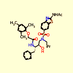 CC(=O)Nc1nc2ccc(S(=O)(=O)N(CC(C)C)C[C@@H](O)[C@H](Cc3ccccc3)NC(=O)COc3c(C)cc(C)cc3C)cc2s1